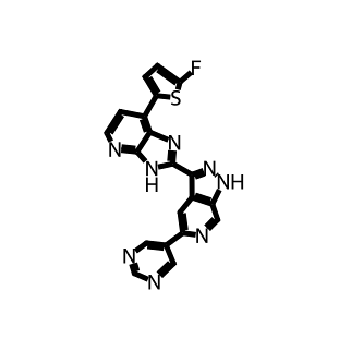 Fc1ccc(-c2ccnc3[nH]c(-c4n[nH]c5cnc(-c6cncnc6)cc45)nc23)s1